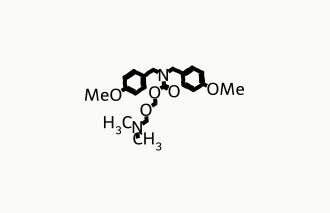 COc1ccc(CN(Cc2ccc(OC)cc2)C(=O)OCOCN(C)C)cc1